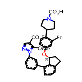 CCOC(=O)c1cnn(-c2cccc(-c3cccc4c3[C@@H](Oc3ccc(C5CCN(C(=O)O)CC5)c(CC)c3)CC4)c2)c1OC